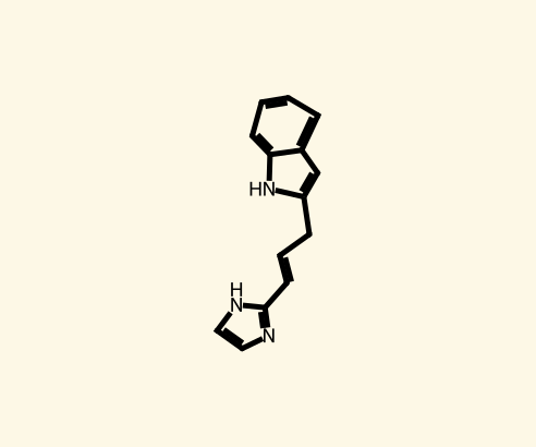 C(=Cc1ncc[nH]1)Cc1cc2ccccc2[nH]1